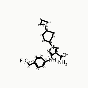 NC(=O)c1cn(C2CCC(N3CCC3)CC2)nc1Nc1ccc(CC(F)(F)F)cc1